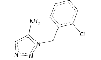 Nc1cnnn1Cc1ccccc1Cl